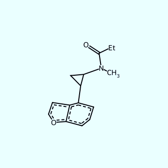 CCC(=O)N(C)C1CC1c1cccc2occc12